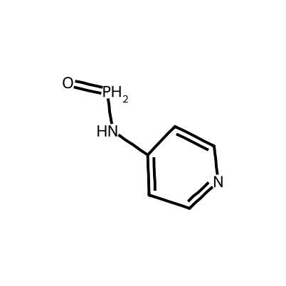 O=[PH2]Nc1ccncc1